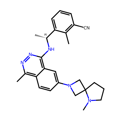 Cc1c(C#N)cccc1[C@@H](C)Nc1nnc(C)c2ccc(N3CC4(CCCN4C)C3)cc12